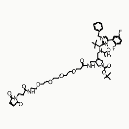 CC(O)N(CC1CN(C(=O)OC(C)(C)C)CC1CNC(=O)CCOCCOCCOCCOCCNC(=O)CCN1C(=O)C=CC1=O)[C@@H](c1nc(-c2cc(F)ccc2F)cn1Cc1ccccc1)C(C)(C)C